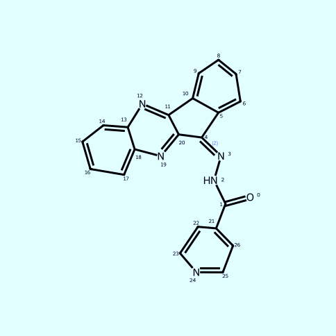 O=C(N/N=C1/c2ccccc2-c2nc3ccccc3nc21)c1ccncc1